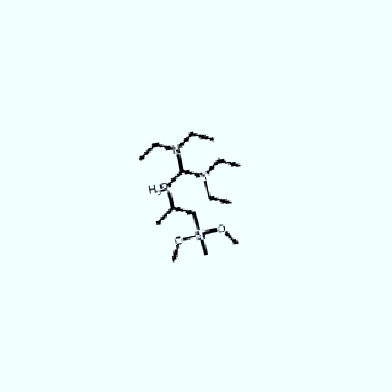 CCN(CC)C([SiH2]C(C)C[Si](C)(OC)OC)N(CC)CC